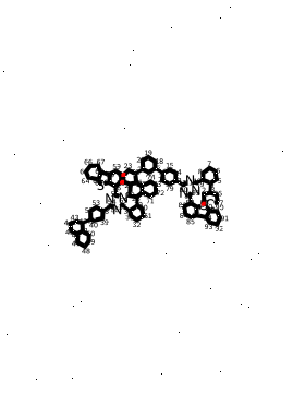 c1ccc(-c2ccccc2-c2nc(-c3ccc(-c4cccc(-c5cccc6cc(-c7ccccc7-c7nc(-c8ccc(-c9cccc%10ccccc9%10)cc8)nc(-c8cccc9c8sc8ccccc89)n7)c7ccccc7c56)c4)cc3)nc(-c3cccc4c3sc3ccccc34)n2)cc1